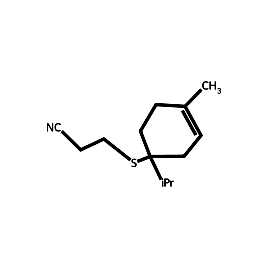 CC1=CCC(SCCC#N)(C(C)C)CC1